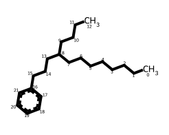 CCCCCCCCC(CCCC)CCCc1cc[c]cc1